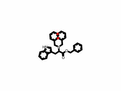 O=C(OCc1ccccc1)C(Cc1c[nH]c2ccccc12)N(Cc1ccccc1)Cc1ccccc1